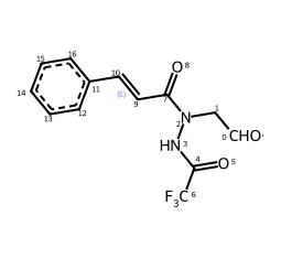 O=[C]CN(NC(=O)C(F)(F)F)C(=O)/C=C/c1ccccc1